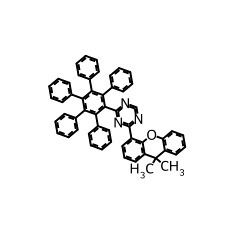 CC1(C)c2ccccc2Oc2c(-c3ncnc(-c4c(-c5ccccc5)c(-c5ccccc5)c(-c5ccccc5)c(-c5ccccc5)c4-c4ccccc4)n3)cccc21